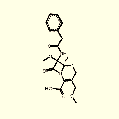 COCC1=C(C(=O)O)N2C(=O)C(NC(=O)Cc3ccccc3)(OC)[C@H]2SC1